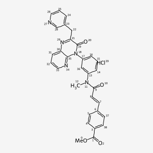 COC(=O)c1ccc(C=CC(=O)N(C)c2cccc(-n3c(=O)c(Cc4cccnc4)nc4cccnc43)c2)cc1.Cl